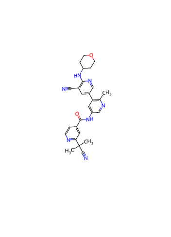 Cc1ncc(NC(=O)c2ccnc(C(C)(C)C#N)c2)cc1-c1cnc(NC2CCOCC2)c(C#N)c1